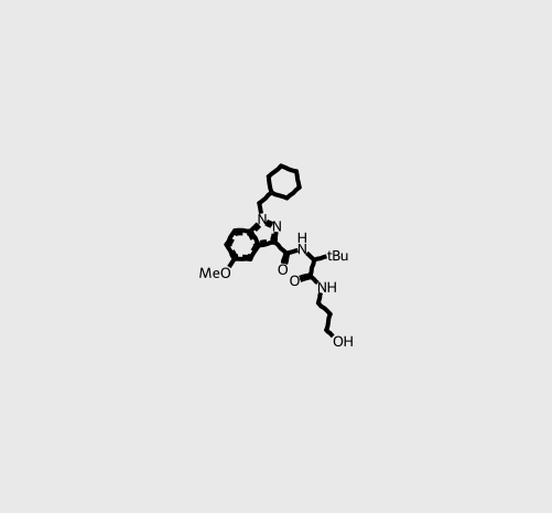 COc1ccc2c(c1)c(C(=O)NC(C(=O)NCCCO)C(C)(C)C)nn2CC1CCCCC1